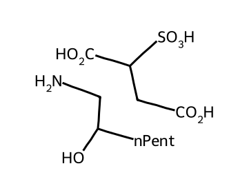 CCCCCC(O)CN.O=C(O)CC(C(=O)O)S(=O)(=O)O